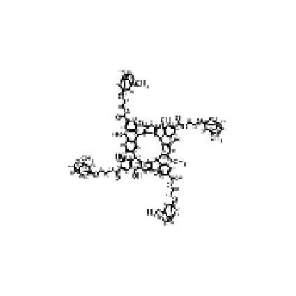 COc1cc(O)c2cc1C(c1ccc(C(=O)OCCOC34CC5CC(CC(C)(C5)C3)C4)cc1)c1cc(c(OC)cc1O)C(c1ccc(C(=O)OCCOC34CC5CC(CC(C)(C5)C3)C4)cc1)c1cc(c(CO)cc1O)C(c1ccc(C(=O)OCCOC34CC5CC(CC(C)(C5)C3)C4)cc1)c1cc(c(CO)cc1O)C2c1ccc(C(=O)OCCOC23CC4CC(CC(C)(C4)C2)C3)cc1